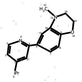 CC(C)c1ccnc(-c2ccc3c(c2)N(C)CCO3)c1